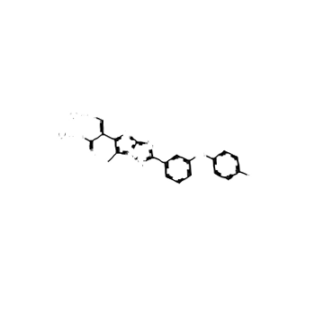 COC=C(C(=O)OC)c1sc2nc(-c3cccc(Oc4ccc(Cl)cc4)c3)nn2c1C